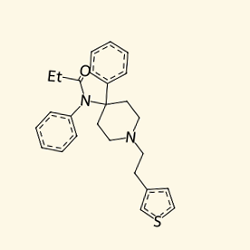 CCC(=O)N(c1ccccc1)C1(c2ccccc2)CCN(CCc2ccsc2)CC1